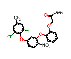 COC(=O)COc1ccccc1Oc1cc(Oc2c(F)cc(C(F)(F)F)cc2Cl)ccc1[N+](=O)[O-]